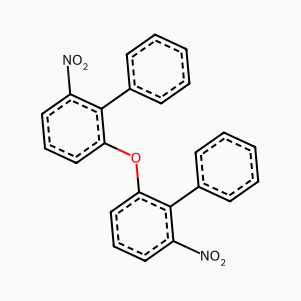 O=[N+]([O-])c1cccc(Oc2cccc([N+](=O)[O-])c2-c2ccccc2)c1-c1ccccc1